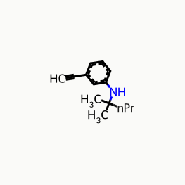 C#Cc1cccc(NC(C)(C)CCC)c1